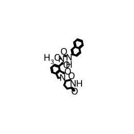 CN(C(=O)Nc1ccc2ccccc2c1)C(=O)c1cccc2c1C(=O)N(C1CCC(=O)NC1=O)C2